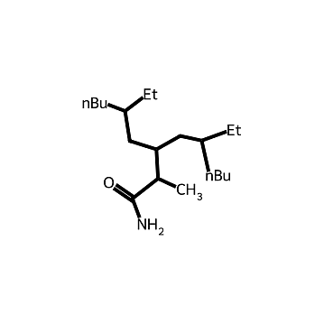 CCCCC(CC)CC(CC(CC)CCCC)C(C)C(N)=O